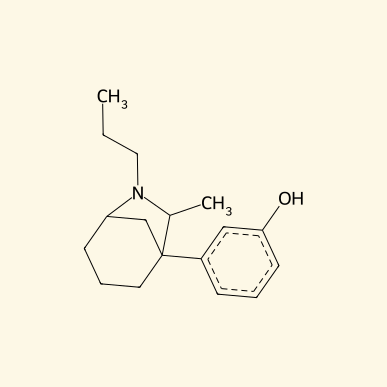 CCCN1C2CCCC(c3cccc(O)c3)(C2)C1C